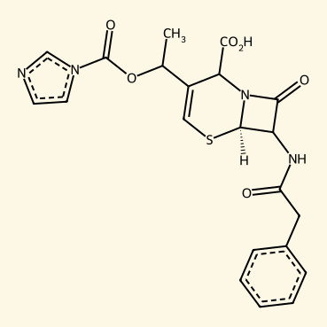 CC(OC(=O)n1ccnc1)C1=CS[C@@H]2C(NC(=O)Cc3ccccc3)C(=O)N2C1C(=O)O